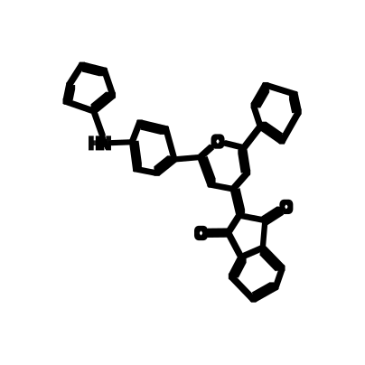 O=C1C(=C2C=C(c3ccccc3)OC(c3ccc(Nc4ccccc4)cc3)=C2)C(=O)c2ccccc21